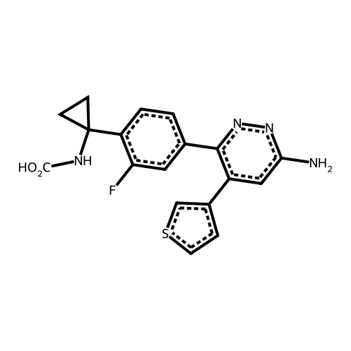 Nc1cc(-c2ccsc2)c(-c2ccc(C3(NC(=O)O)CC3)c(F)c2)nn1